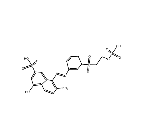 Nc1ccc2c(O)cc(S(=O)(=O)O)cc2c1N=NC1=CC(S(=O)(=O)CCOS(=O)(=O)O)CC=C1